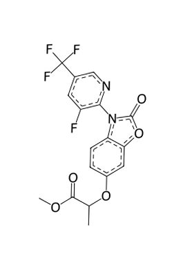 COC(=O)C(C)Oc1ccc2c(c1)oc(=O)n2-c1ncc(C(F)(F)F)cc1F